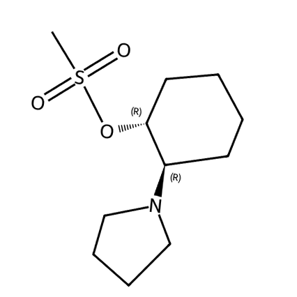 CS(=O)(=O)O[C@@H]1CCCC[C@H]1N1CCCC1